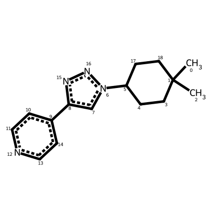 CC1(C)CCC(n2cc(-c3ccncc3)nn2)CC1